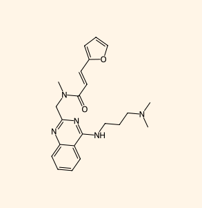 CN(C)CCCNc1nc(CN(C)C(=O)/C=C/c2ccco2)nc2ccccc12